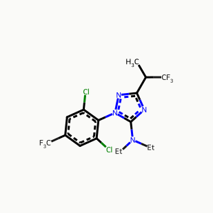 CCN(CC)c1nc(C(C)C(F)(F)F)nn1-c1c(Cl)cc(C(F)(F)F)cc1Cl